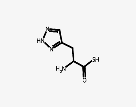 NC(Cc1cn[nH]n1)C(=O)S